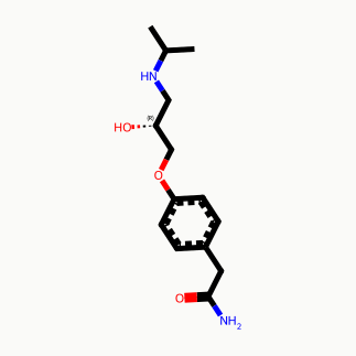 CC(C)NC[C@@H](O)COc1ccc(CC(N)=O)cc1